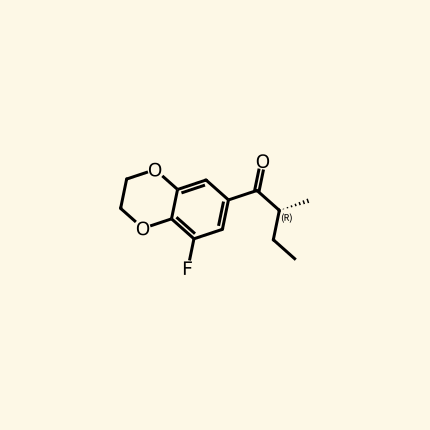 CC[C@@H](C)C(=O)c1cc(F)c2c(c1)OCCO2